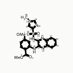 COC(=O)c1ccc(OC)cc1Nc1nc2ccccc2nc1NS(=O)(=O)c1cn(C)cn1